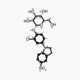 O=[N+]([O-])c1ccc2c(c1)CCN2c1ccc(O[C@H]2O[C@H](CO)[C@@H](O)[C@H](O)[C@@H]2O)c(Cl)c1